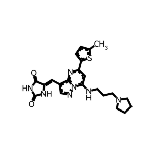 Cc1ccc(-c2cc(NCCCN3CCCC3)n3ncc(/C=C4\NC(=O)NC4=O)c3n2)s1